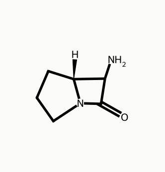 NC1C(=O)N2CCC[C@H]12